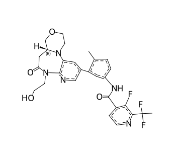 Cc1ccc(NC(=O)c2ccnc(C(C)(F)F)c2F)cc1-c1cnc2c(c1)N1CCOC[C@H]1CC(=O)N2CCO